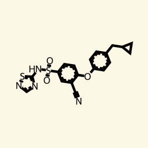 N#Cc1cc(S(=O)(=O)Nc2ncns2)ccc1Oc1ccc(CC2CC2)cc1